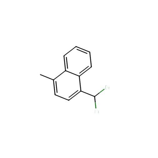 Cc1ccc(C(Br)Br)c2ccccc12